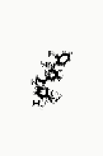 CC(C)(O)c1ccc2ncc(-c3cc(F)cc(N[C@H]4CCCC[C@@H]4F)n3)n2c1